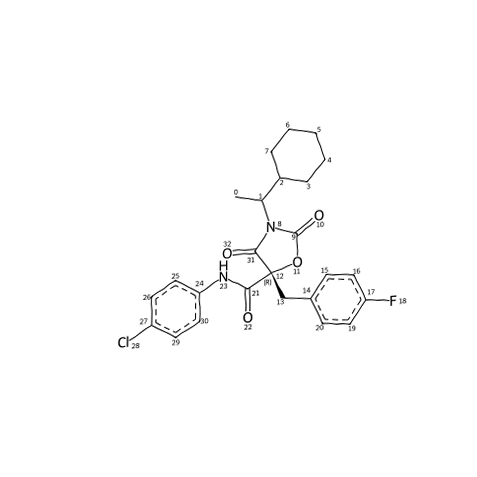 CC(C1CCCCC1)N1C(=O)O[C@](Cc2ccc(F)cc2)(C(=O)Nc2ccc(Cl)cc2)C1=O